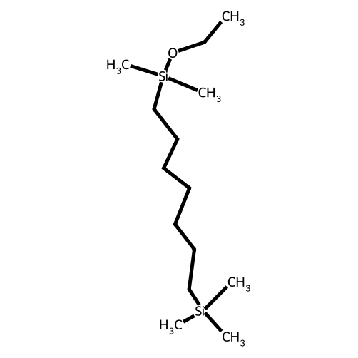 CCO[Si](C)(C)CCCCCCC[Si](C)(C)C